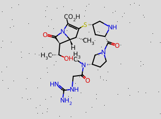 C[C@@H](O)[C@H]1C(=O)N2C(C(=O)O)=C(S[C@@H]3CN[C@H](C(=O)N4CC[C@H](N(C)C(=O)CNC(=N)N)C4)C3)[C@H](C)[C@H]12